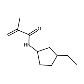 C=C(C)C(=O)NC1CCC(CC)C1